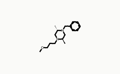 COCCCN1C[C@H](C)N(Cc2ccccc2)C[C@H]1C